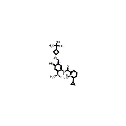 CN(C)C1=CC(=N)/C(=C\N[C@H]2C[C@H](C(C)(C)O)C2)C=C1NC(=O)c1cccc(C2CC2)[n+]1O